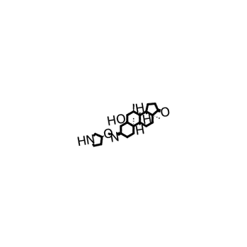 C[C@@H]1C[C@@]2(O)CC(=NO[C@@H]3CCNC3)CC[C@]2(C)[C@H]2CC[C@]3(C)C(=O)CC[C@H]3[C@H]12